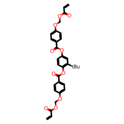 C=CC(=O)OCOc1ccc(C(=O)Oc2ccc(OC(=O)c3ccc(OCOC(=O)C=C)cc3)c(C(C)(C)C)c2)cc1